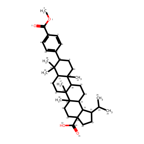 COC(=O)c1ccc(C2CCC3(C)C(CCC4(C)C3CCC3C5C(C(C)C)CCC5(C(=O)O)CCC34C)C2(C)C)cc1